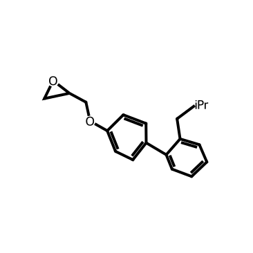 CC(C)Cc1ccccc1-c1ccc(OCC2CO2)cc1